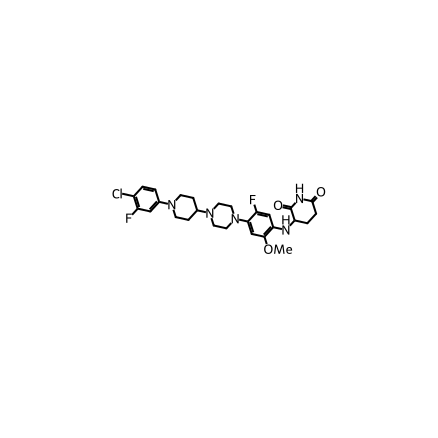 COc1cc(N2CCN(C3CCN(c4ccc(Cl)c(F)c4)CC3)CC2)c(F)cc1NC1CCC(=O)NC1=O